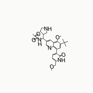 COCc1ccc(-c2cc(C(C)(C)C)c(OC)c3cc([C@@H](NS(C)(=O)=O)C4CCNC4)cnc23)c(=O)[nH]1